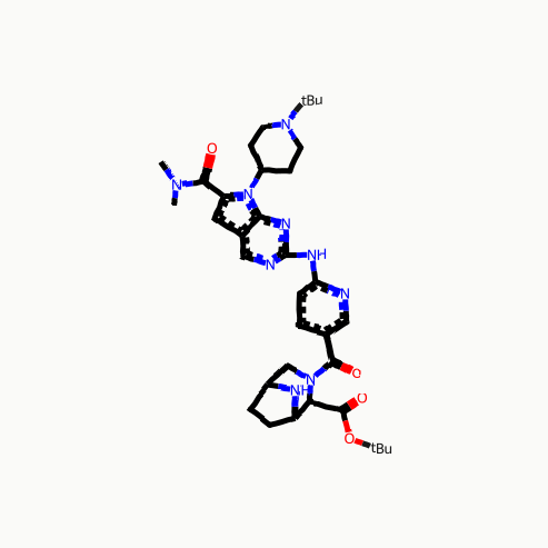 CN(C)C(=O)c1cc2cnc(Nc3ccc(C(=O)N4CC5CCC(N5)C4C(=O)OC(C)(C)C)cn3)nc2n1C1CCN(C(C)(C)C)CC1